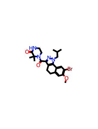 COc1cc2c(cc1Br)-c1c(c(C(=O)N3CCNC(=O)C3(C)C)nn1CC(C)C)CC2